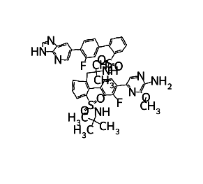 COc1nc(-c2ccc(-c3c(CC(C)(C)NS(=O)(=O)c4ccccc4-c4ccc(-c5cnc6[nH]cnc6c5)c(F)c4)cccc3S(=O)(=O)NC(C)(C)C)cc2F)cnc1N